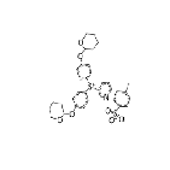 Cc1ccc(S(=O)(=O)[O-])cc1.c1cncc([S+](c2ccc(OC3CCCCO3)cc2)c2ccc(OC3CCCCO3)cc2)c1